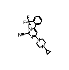 N#Cc1nc(-c2ccccc2C(F)(F)F)cc(N2CCN(C3CC3)CC2)n1